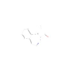 COC1(OC)C2=CCC=CC2=CC=NC1C=O